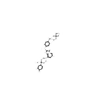 OC(c1ccc(Nc2nc3c(N4CCC(O)(c5ccc(Cl)cc5)CC4)cccn3n2)cc1)N1CCC2(CNC2)C1